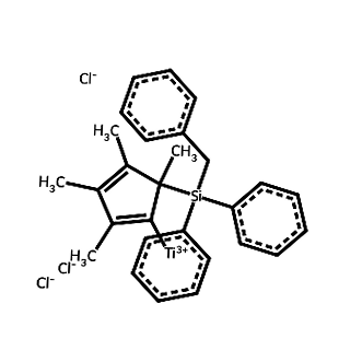 CC1=C(C)C(C)([Si](Cc2ccccc2)(c2ccccc2)c2ccccc2)[C]([Ti+3])=C1C.[Cl-].[Cl-].[Cl-]